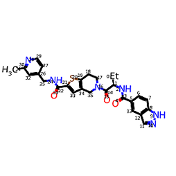 CC[C@@H](NC(=O)c1ccc2[nH]ncc2c1)C(=O)N1CCc2sc(C(=O)NCc3ccnc(C)c3)cc2C1